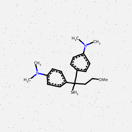 COCCC([SiH3])(c1ccc(N(C)C)cc1)c1ccc(N(C)C)cc1